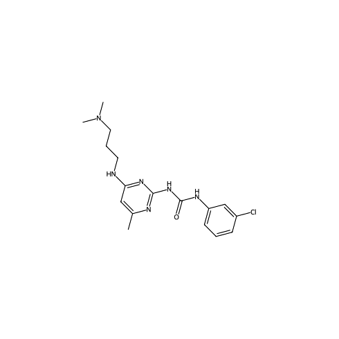 Cc1cc(NCCCN(C)C)nc(NC(=O)Nc2cccc(Cl)c2)n1